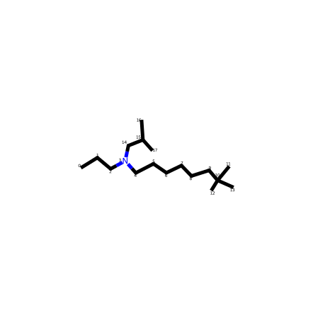 CCCN(CCCCCCC(C)(C)C)CC(C)C